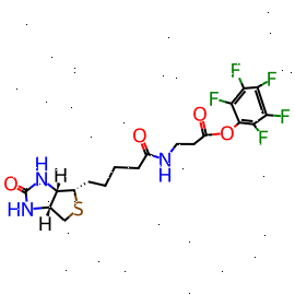 O=C(CCCC[C@@H]1SC[C@@H]2NC(=O)N[C@@H]21)NCCC(=O)Oc1c(F)c(F)c(F)c(F)c1F